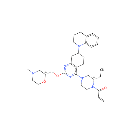 C=CC(=O)N1CCN(c2nc(OC[C@H]3CN(C)CCO3)nc3c2CCC(N2CCCc4ccccc42)C3)C[C@@H]1CC#N